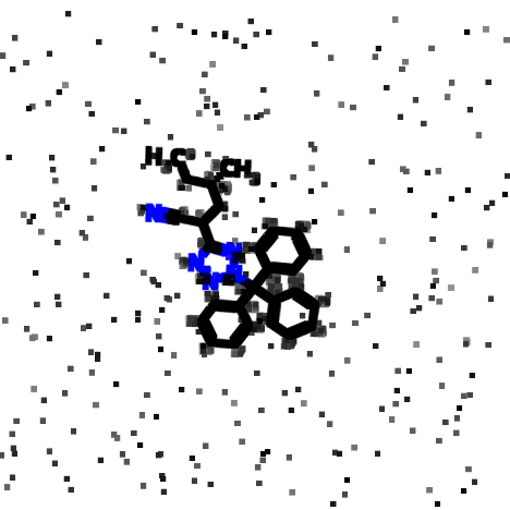 CC[C@H](C)CC(C#N)c1nnn(C(c2ccccc2)(c2ccccc2)c2ccccc2)n1